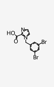 O=C(O)c1nccn1Cc1cc(Br)cc(Br)c1